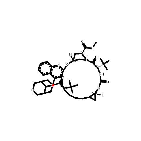 COC(=O)[C@@H]1C[C@@H]2CN1C(=O)[C@H](C(C)(C)C)NC(=O)O[C@@H]1CC1CCCCCc1c(nc3ccccc3c1OC1C3COCC1CN(C(=O)OC(C)(C)C)C3)O2